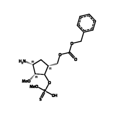 CO[C@H]1C(OP(O)(=S)OC)[C@@H](COC(=O)OCc2ccccc2)C[C@H]1N